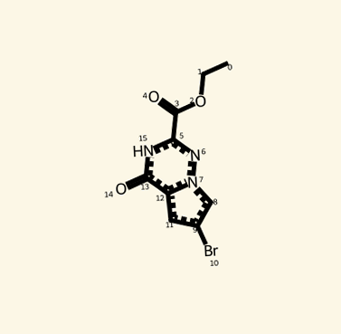 CCOC(=O)c1nn2cc(Br)cc2c(=O)[nH]1